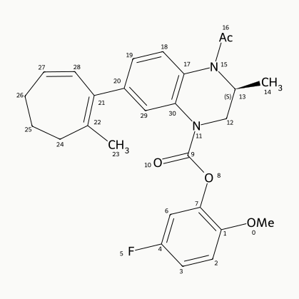 COc1ccc(F)cc1OC(=O)N1C[C@H](C)N(C(C)=O)c2ccc(C3=C(C)CCCC=C3)cc21